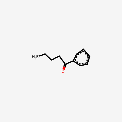 BCCCC(=O)c1ccccc1